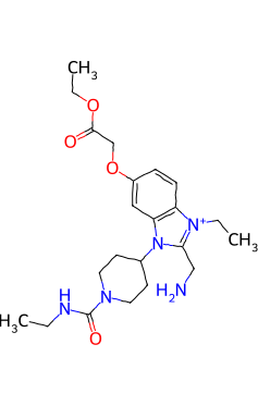 CCNC(=O)N1CCC(n2c(CN)[n+](CC)c3ccc(OCC(=O)OCC)cc32)CC1